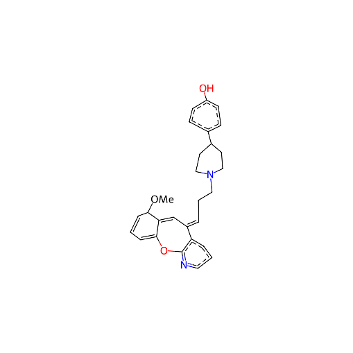 COC1C=CC=C2Oc3ncccc3C(=CCCN3CCC(c4ccc(O)cc4)CC3)C=C21